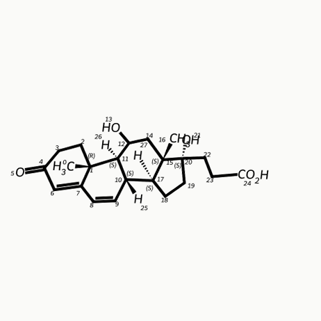 C[C@]12CCC(=O)C=C1C=C[C@@H]1[C@@H]2C(O)C[C@@]2(C)[C@H]1CC[C@]2(O)CCC(=O)O